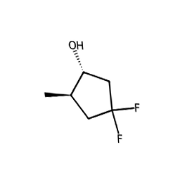 C[C@@H]1CC(F)(F)C[C@H]1O